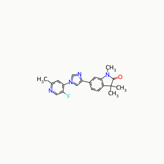 Cc1cc(-n2cnc(-c3ccc4c(c3)N(C)C(=O)C4(C)C)c2)c(F)cn1